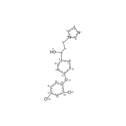 OC(CCn1ccnc1)c1ccc(Oc2ccc(Cl)cc2Cl)cc1